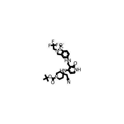 CC(C)(C)OC(=O)N1CCC(CC#N)(Nc2cc[nH]c(=O)c2CNc2ccc3c(c2)CN(CC(F)(F)F)[S+]3[O-])CC1